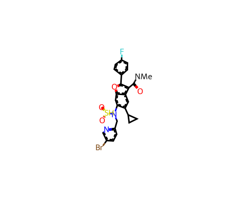 CNC(=O)c1c(-c2ccc(F)cc2)oc2cc(N(Cc3ccc(Br)cn3)[SH](=O)=O)c(C3CC3)cc12